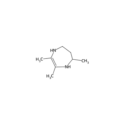 CC1=C(C)NC(C)CCN1